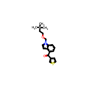 C[Si](C)(C)CCOCn1ccc2c(C(=O)c3ccsc3)cccc21